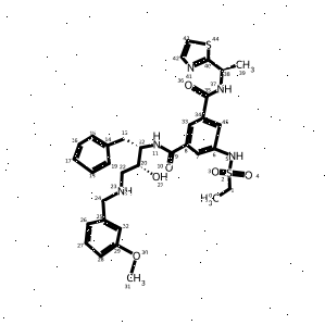 CCS(=O)(=O)Nc1cc(C(=O)N[C@@H](Cc2ccccc2)[C@H](O)CNCc2cccc(OC)c2)cc(C(=O)N[C@H](C)c2nccs2)c1